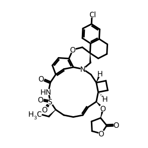 CC[C@@H]1CC/C=C/[C@H](O[C@@H]2CCOC2=O)[C@@H]2CC[C@H]2CN2C[C@@]3(CCCc4cc(Cl)ccc43)COc3ccc(cc32)C(=O)NS1(=O)=O